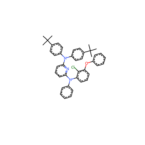 CC(C)(C)c1ccc(N(c2ccc(C(C)(C)C)cc2)c2cccc(N(c3ccccc3)c3cccc(Oc4ccccc4)c3Cl)n2)cc1